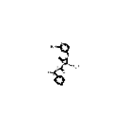 C=C1[C@H](Cc2ccnc(N)c2)[C@@H](C(=O)O)N1C(=O)N[C@H](CC)c1ccccc1